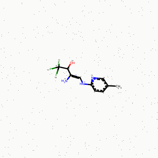 Cc1ccc(N/C=C(\N)C(O)C(F)(F)F)nc1